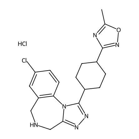 Cc1nc(C2CCC(c3nnc4n3-c3ccc(Cl)cc3CNC4)CC2)no1.Cl